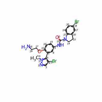 Cn1ncc(Br)c1-c1cc(NC(=O)N2CCc3cc(Br)ccc32)ccc1OCCN